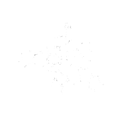 CN(C(=O)OCC1c2ccccc2-c2ccccc21)C(C)(C)C(=O)N(C)C1(C(=O)N[C@@H](CC(=O)O)C(=O)N2CCCC2)C[C@@H]1c1ccccc1